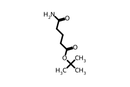 CC(C)(C)OC(=O)CCCC(N)=O